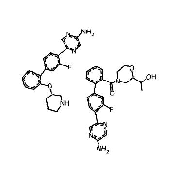 CC(O)C1CN(C(=O)c2ccccc2-c2ccc(-c3cnc(N)cn3)c(F)c2)CCO1.Nc1cnc(-c2ccc(-c3ccccc3O[C@@H]3CCCNC3)cc2F)cn1